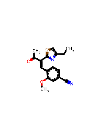 CCc1csc(C(=Cc2ccc(C#N)cc2OC)C(C)=O)n1